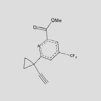 C#CC1(c2cc(C(F)(F)F)cc(C(=O)OC)n2)CC1